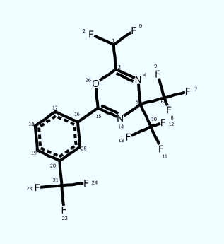 FC(F)C1=NC(C(F)(F)F)(C(F)(F)F)N=C(c2cccc(C(F)(F)F)c2)O1